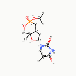 Cc1cn([C@H]2CC3CP(=O)(OC(C)C)OC[C@H]3O2)c(=O)[nH]c1=O